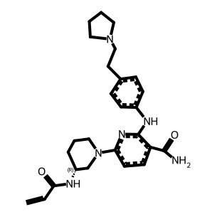 C=CC(=O)N[C@@H]1CCCN(c2ccc(C(N)=O)c(Nc3ccc(CCN4CCCC4)cc3)n2)C1